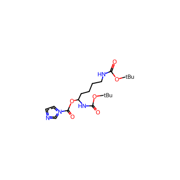 CC(C)(C)OC(=O)NCCCCC(NC(=O)OC(C)(C)C)OC(=O)n1ccnc1